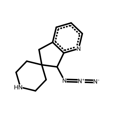 [N-]=[N+]=NC1c2ncccc2CC12CCNCC2